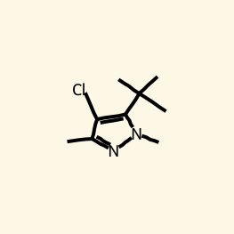 Cc1nn(C)c(C(C)(C)C)c1Cl